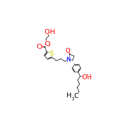 CCCCCC(O)c1ccc([C@H]2CC(=O)N2CCCc2ccc(C(=O)OCCO)s2)cc1